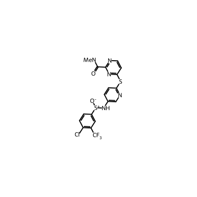 CNC(=O)c1nccc(Sc2ccc(N[S+]([O-])c3ccc(Cl)c(C(F)(F)F)c3)cn2)n1